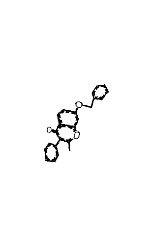 Cc1oc2cc(OCc3ccccc3)ccc2c(=O)c1-c1ccccc1